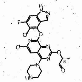 C[C@H](C=O)Oc1nc(N2CCNCC2)c2cc(Cl)nc(Oc3c(Cl)c(F)cc4[nH]ncc34)c2n1